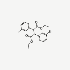 CCOC(=O)C(c1cccc(C)c1)C(C(=O)OCC)c1cccc(Br)c1